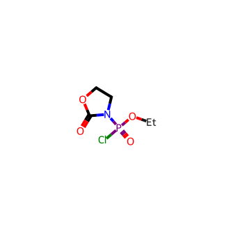 CCOP(=O)(Cl)N1CCOC1=O